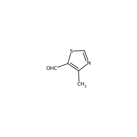 Cc1ncsc1C=O